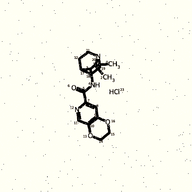 CC1(C)C(NC(=O)c2cc3c(cn2)OCCO3)C2CCN1CC2.Cl